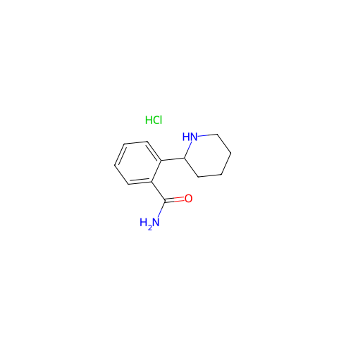 Cl.NC(=O)c1ccccc1C1CCCCN1